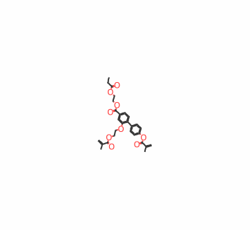 C=C(C)C(=O)OCCOc1cc(C(=O)OCCOC(=O)CC)ccc1-c1ccc(OC(=O)C(=C)C)cc1